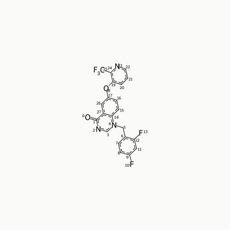 O=c1ncn(Cc2ccc(F)cc2F)c2ccc(Oc3cccnc3C(F)(F)F)cc12